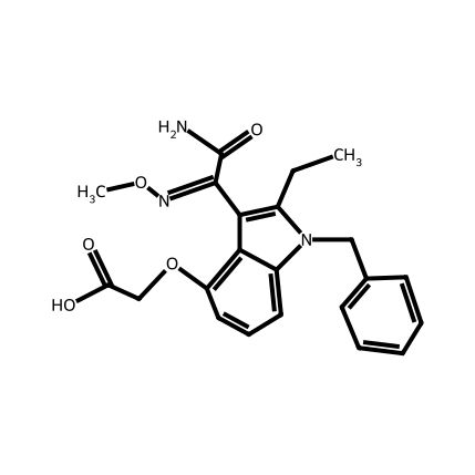 CCc1c(/C(=N/OC)C(N)=O)c2c(OCC(=O)O)cccc2n1Cc1ccccc1